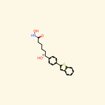 O=C(CCCC[C@@H](O)c1ccc(-c2cc3ccccc3s2)cc1)NO